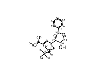 COC(=O)/C=C/[C@H](O[Si](C)(C)C(C)(C)C)[C@@H]1OC(c2ccccc2)OC[C@@H]1O